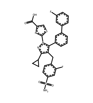 NS(=O)(=O)c1ccc(Cc2c(C3CC3)nn(-c3nc(C(=O)O)cs3)c2-c2cccc(-c3cccc(F)c3)c2)c(F)c1